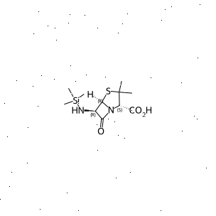 CC1(C)S[C@@H]2[C@H](N[Si](C)(C)C)C(=O)N2[C@H]1C(=O)O